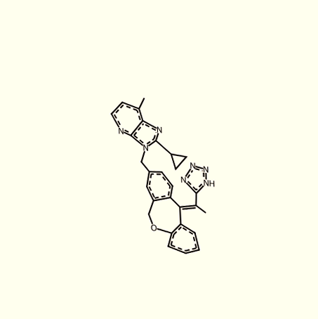 CC(=C1c2ccc(Cn3c(C4CC4)nc4c(C)ccnc43)cc2COc2ccccc21)c1nnn[nH]1